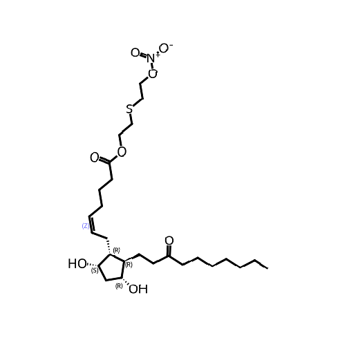 CCCCCCCC(=O)CC[C@@H]1[C@@H](C/C=C\CCCC(=O)OCCSCCO[N+](=O)[O-])[C@@H](O)C[C@H]1O